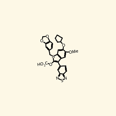 COc1cc2c(-c3ccc4nsnc4c3)c(OC(=O)O)n(Cc3ccc4c(c3)OCO4)c2cc1OC1CCCC1